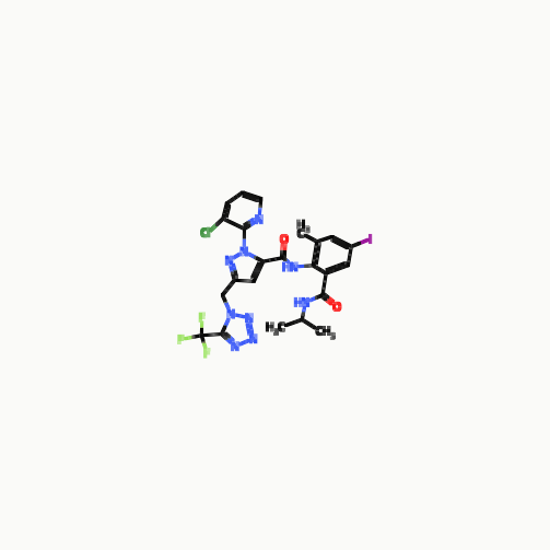 Cc1cc(I)cc(C(=O)NC(C)C)c1NC(=O)c1cc(Cn2nnnc2C(F)(F)F)nn1-c1ncccc1Cl